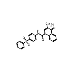 O=C(O)c1cn(C(=O)Nc2ccc(S(=O)(=O)c3ccccc3)cc2)c2ccccc2c1=O